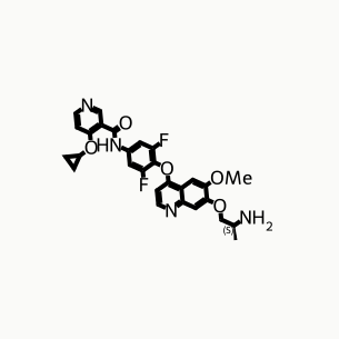 COc1cc2c(Oc3c(F)cc(NC(=O)c4cnccc4OC4CC4)cc3F)ccnc2cc1OC[C@H](C)N